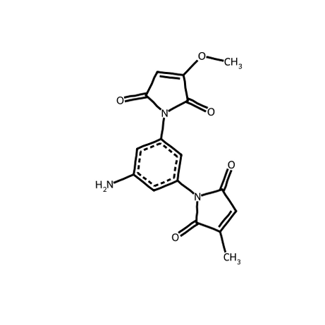 COC1=CC(=O)N(c2cc(N)cc(N3C(=O)C=C(C)C3=O)c2)C1=O